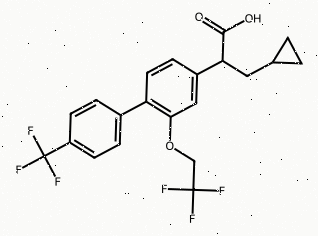 O=C(O)C(CC1CC1)c1ccc(-c2ccc(C(F)(F)F)cc2)c(OCC(F)(F)F)c1